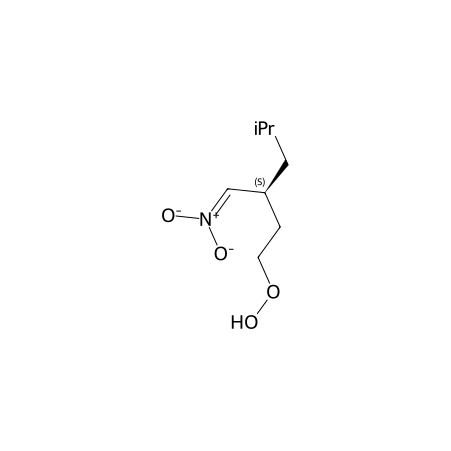 CC(C)C[C@H](C=[N+]([O-])[O-])CCOO